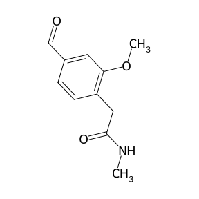 CNC(=O)Cc1ccc(C=O)cc1OC